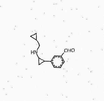 O=Cc1cccc(C2CC2NCC2CC2)c1